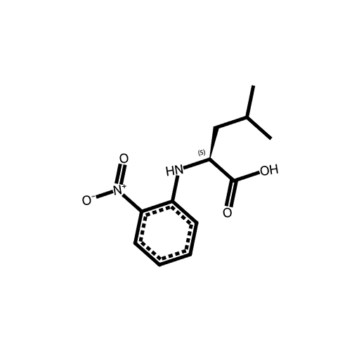 CC(C)C[C@H](Nc1ccccc1[N+](=O)[O-])C(=O)O